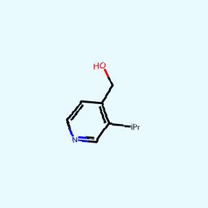 CC(C)c1cnccc1CO